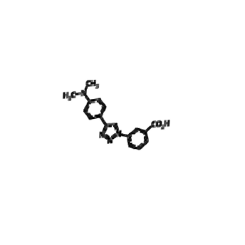 CN(C)c1ccc(-c2cn(-c3cccc(C(=O)O)c3)nn2)cc1